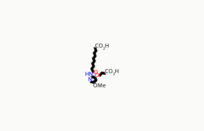 COc1cnc(NC(=O)CCCCCCCCCC(=O)O)c(OCCCC(=O)O)c1